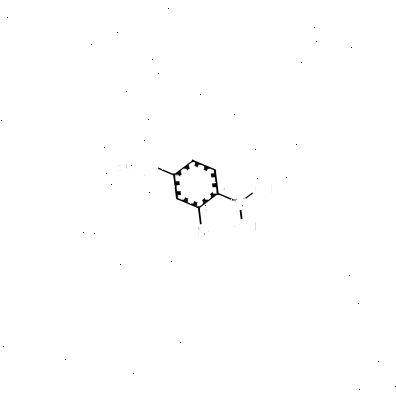 CCOC(=O)c1ccc(N(C)C)c([N+](=O)[O-])c1